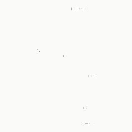 CCCCCCCCCC(=O)OCC(O)COC=O